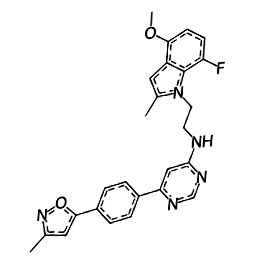 COc1ccc(F)c2c1cc(C)n2CCNc1cc(-c2ccc(-c3cc(C)no3)cc2)ncn1